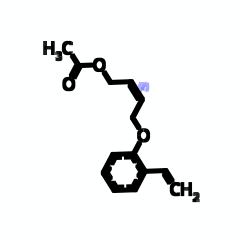 C=Cc1ccccc1OC/C=C\COC(C)=O